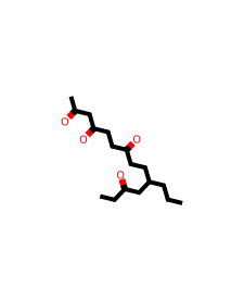 CCCC(CCC(=O)CCC(=O)CC(C)=O)CC(=O)CC